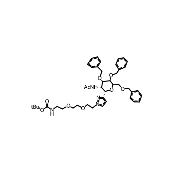 CC(=O)N[C@@H]1[C@@H](OCc2ccccc2)[C@@H](OCc2ccccc2)[C@@H](COCc2ccccc2)O[C@@H]1c1ccn(CCOCCOCCNC(=O)OC(C)(C)C)n1